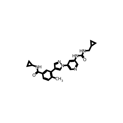 Cc1ccc(C(=O)NC2CC2)cc1-c1cnn(-c2cncc(NC(=O)NCC3CC3)c2)c1